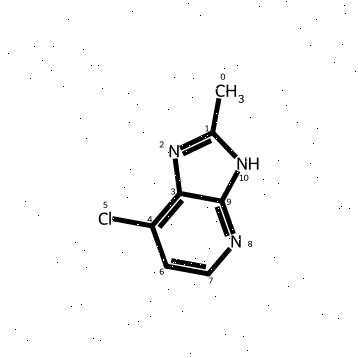 Cc1nc2c(Cl)ccnc2[nH]1